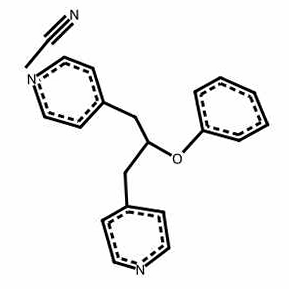 CC#N.c1ccc(OC(Cc2ccncc2)Cc2ccncc2)cc1